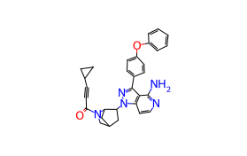 Nc1nccc2c1c(-c1ccc(Oc3ccccc3)cc1)nn2C1CC2CC1N(C(=O)C#CC1CC1)C2